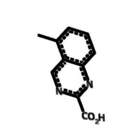 Cc1cccc2nc(C(=O)O)ncc12